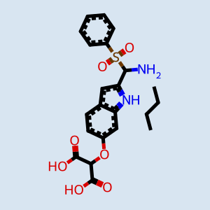 CCCC.NC(c1cc2ccc(OC(C(=O)O)C(=O)O)cc2[nH]1)S(=O)(=O)c1ccccc1